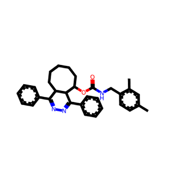 Cc1ccc(CNC(=O)OC2CCCCCC3C(c4ccccc4)=NN=C(c4ccccc4)C23)c(C)c1